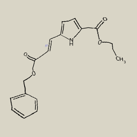 CCOC(=O)c1ccc(/C=C/C(=O)OCc2ccccc2)[nH]1